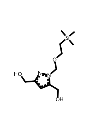 C[Si](C)(C)CCOCn1nc(CO)cc1CO